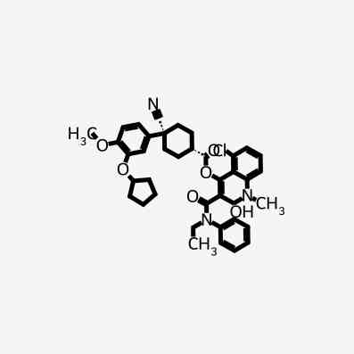 CCN(C(=O)C1=C(OC(=O)[C@H]2CC[C@](C#N)(c3ccc(OC)c(OC4CCCC4)c3)CC2)c2c(Cl)cccc2N(C)C1O)c1ccccc1